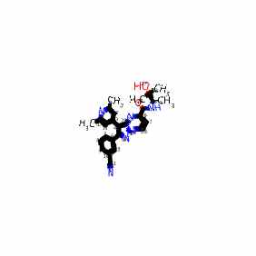 Cc1cc(-c2c(-c3cccc(C#N)c3)nn3ccc(C(=O)N[C@@H](C)C(C)(C)O)nc23)cc(C)n1